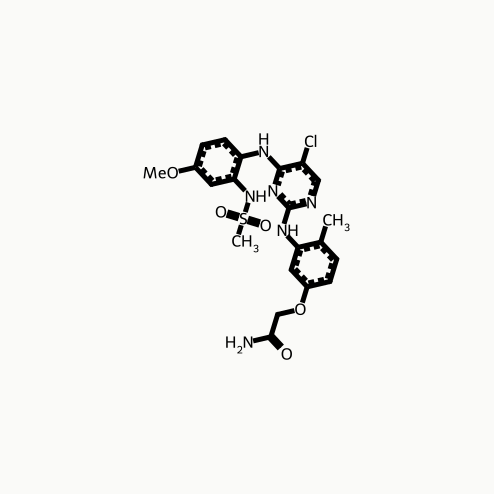 COc1ccc(Nc2nc(Nc3cc(OCC(N)=O)ccc3C)ncc2Cl)c(NS(C)(=O)=O)c1